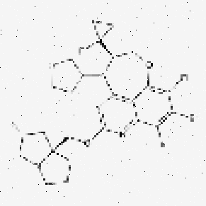 Fc1c(Br)c(Cl)c2c3c(nc(OC[C@@]45CCCN4C[C@H](F)C5)nc13)N(C1CCOC1)[C@@H](C1(F)CC1)CO2